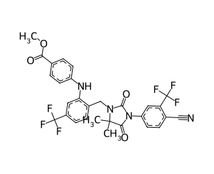 COC(=O)c1ccc(Nc2cc(C(F)(F)F)ccc2CN2C(=O)N(c3ccc(C#N)c(C(F)(F)F)c3)C(=O)C2(C)C)cc1